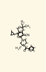 C[C@@H]1CN(c2nc(C3CC3)c3c(c2C#N)CC(C)(C)OC3)CCN1C(=O)c1ccco1